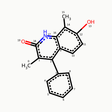 Cc1c(-c2ccccc2)c2ccc(O)c(C)c2[nH]c1=O